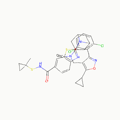 CC1(SNC(=O)c2ccc3nc(N4C5CC(N(C=O)Cc6c(-c7c(Cl)cccc7Cl)noc6C6CC6)CC4C5)sc3c2)CC1